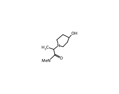 CNC(=O)C(C)N1CCC(O)CC1